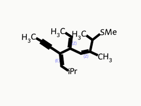 CC#CC(=C/C(C)C)/C(=C\C)/C=C(/C)C(C)SC